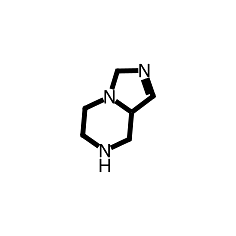 C1=NCN2CCNCC12